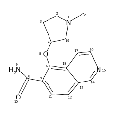 CN1CCC(Oc2c(C(N)=O)ccc3cnccc23)C1